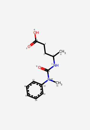 CC(CCC(=O)O)NC(=O)N(C)c1ccccc1